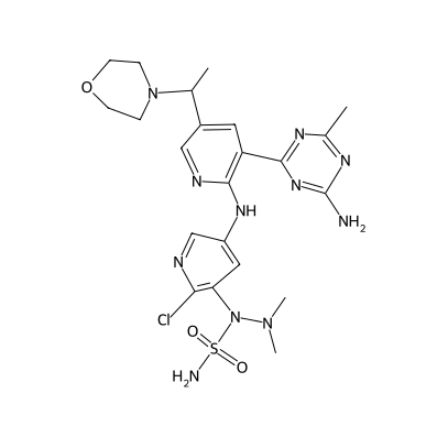 Cc1nc(N)nc(-c2cc(C(C)N3CCOCC3)cnc2Nc2cnc(Cl)c(N(N(C)C)S(N)(=O)=O)c2)n1